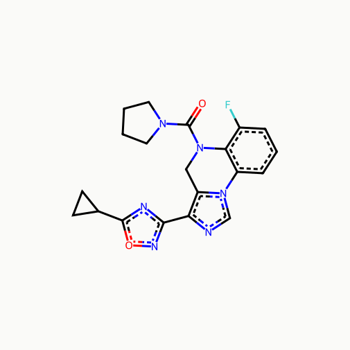 O=C(N1CCCC1)N1Cc2c(-c3noc(C4CC4)n3)ncn2-c2cccc(F)c21